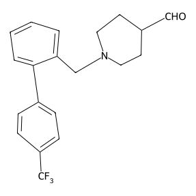 O=CC1CCN(Cc2ccccc2-c2ccc(C(F)(F)F)cc2)CC1